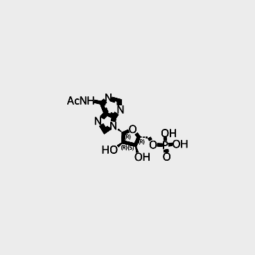 CC(=O)Nc1ncnc2c1ncn2[C@@H]1O[C@H](COP(=O)(O)O)[C@@H](O)[C@H]1O